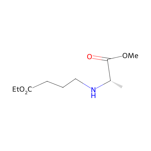 CCOC(=O)CCCN[C@@H](C)C(=O)OC